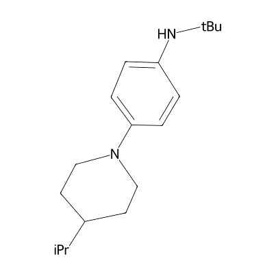 CC(C)C1CCN(c2ccc(NC(C)(C)C)cc2)CC1